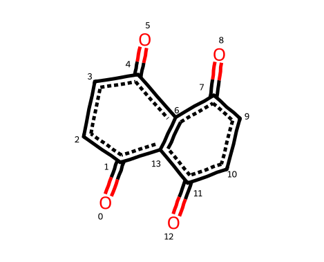 O=c1ccc(=O)c2c(=O)ccc(=O)c1=2